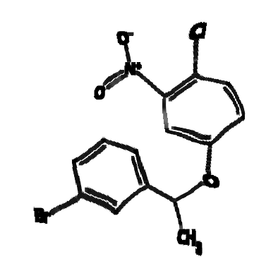 CC(Oc1ccc(Cl)c([N+](=O)[O-])c1)c1cccc(Br)c1